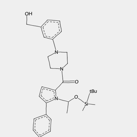 CC(O[Si](C)(C)C(C)(C)C)n1c(C(=O)N2CCN(c3cccc(CO)c3)CC2)ccc1-c1ccccc1